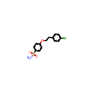 NS(=O)(=O)c1ccc(OCCc2ccc(Br)cc2)cc1